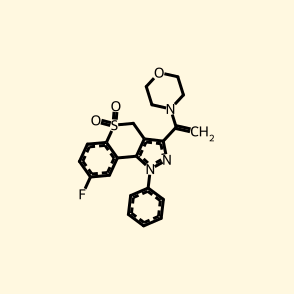 C=C(c1nn(-c2ccccc2)c2c1CS(=O)(=O)c1ccc(F)cc1-2)N1CCOCC1